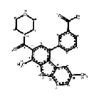 CCC(=O)c1cccc(-c2cc(C(=O)N3CCOCC3)c(C)c3[nH]c4ncc(C)cc4c23)c1